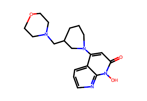 O=c1cc(N2CCCC(CN3CCOCC3)C2)c2cccnc2n1O